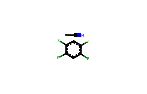 CC#N.Fc1cc(F)c(F)cc1F